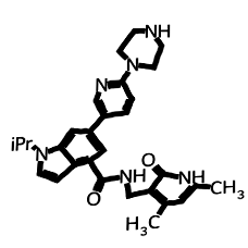 Cc1cc(C)c(CNC(=O)c2cc(-c3ccc(N4CCNCC4)nc3)cc3c2ccn3C(C)C)c(=O)[nH]1